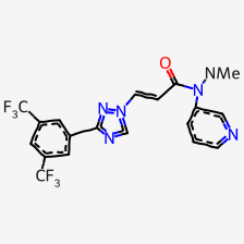 CNN(C(=O)C=Cn1cnc(-c2cc(C(F)(F)F)cc(C(F)(F)F)c2)n1)c1cccnc1